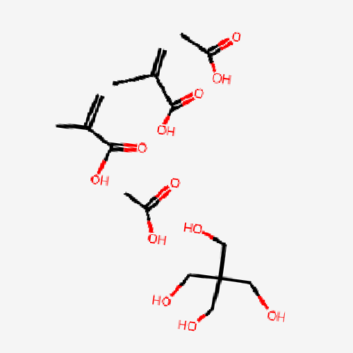 C=C(C)C(=O)O.C=C(C)C(=O)O.CC(=O)O.CC(=O)O.OCC(CO)(CO)CO